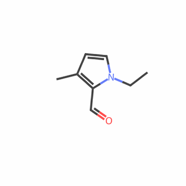 CCn1ccc(C)c1C=O